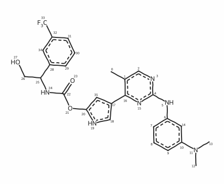 Cc1cnc(Nc2cccc(N(C)C)c2)nc1-c1c[nH]c(OC(=O)NC(CO)c2cccc(C(F)(F)F)c2)c1